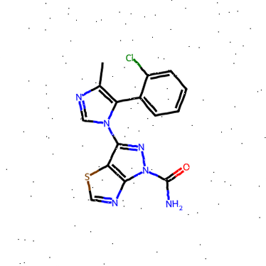 Cc1ncn(-c2nn(C(N)=O)c3n[c]sc23)c1-c1ccccc1Cl